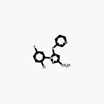 CCOC(=O)c1cc(Sc2cccnc2)n(-c2cc(F)ccc2Cl)n1